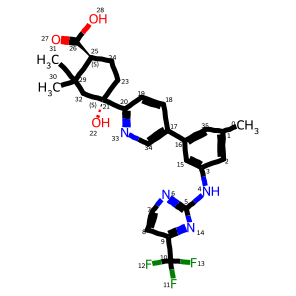 Cc1cc(Nc2nccc(C(F)(F)F)n2)cc(-c2ccc([C@]3(O)CC[C@H](C(=O)O)C(C)(C)C3)nc2)c1